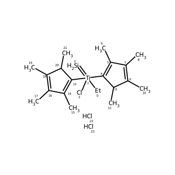 C[CH2][Ti](=[SiH2])([Cl])([C]1=C(C)C(C)=C(C)C1C)[C]1=C(C)C(C)=C(C)C1C.Cl.Cl